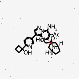 CC(=O)c1c([C@@H]2C[C@H]3CC[C@@H](C2)N3C(=O)CO)nc2c(-c3ccc(C4(O)CCC4)nc3)cnn2c1N